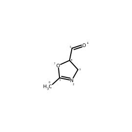 CC1=NCC(C=O)O1